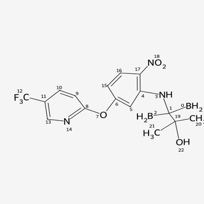 BC(B)(Nc1cc(Oc2ccc(C(F)(F)F)cn2)ccc1[N+](=O)[O-])C(C)(C)O